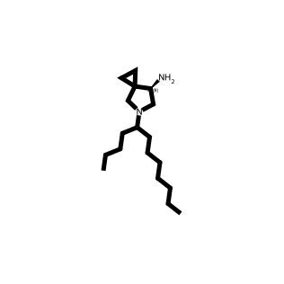 CCCCCCCC(CCCC)N1C[C@H](N)C2(CC2)C1